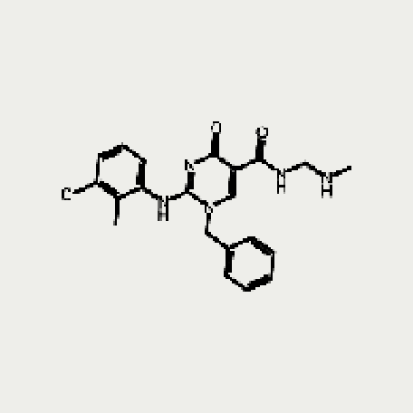 CNCNC(=O)c1cn(Cc2ccccc2)c(Nc2cccc(Cl)c2C)nc1=O